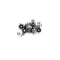 Cc1cccc(C)c1C(=O)Nc1nc(=O)[nH]cc1CC(NC(=O)NC1(C(=O)c2ccccc2)CCN(C)CC1)C(=O)O